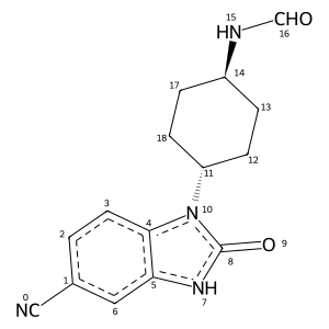 N#Cc1ccc2c(c1)[nH]c(=O)n2[C@H]1CC[C@H](NC=O)CC1